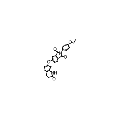 CCOc1ccc(N2C(=O)c3ccc(Oc4ccc5c(c4)NC(=O)CC5)cc3C2=O)cc1